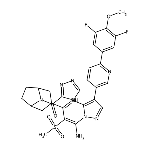 COc1c(F)cc(-c2ccc(-c3cnn4c(N)c(S(C)(=O)=O)c(C5CC6CCC(C5)N6C(=O)c5nnc[nH]5)nc34)cn2)cc1F